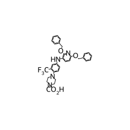 O=C(O)N1CCN(c2ccc(Nc3ccc(OCc4ccccc4)nc3OCc3ccccc3)cc2C(F)(F)F)CC1